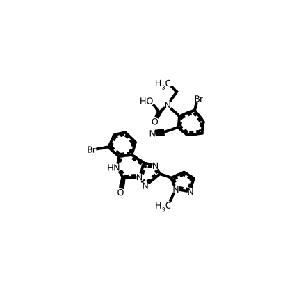 CCN(C(=O)O)c1c(Br)cccc1C#N.Cn1nccc1-c1nc2c3cccc(Br)c3[nH]c(=O)n2n1